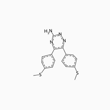 CSc1ccc(-c2nnc(N)nc2-c2ccc(SC)cc2)cc1